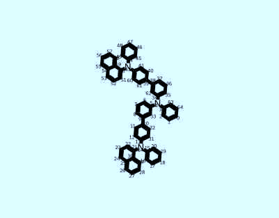 c1ccc(N(c2cccc(-c3ccc(N(c4ccccc4)c4cccc5ccccc45)cc3)c2)c2cccc(-c3ccc(N(c4ccccc4)c4cccc5ccccc45)cc3)c2)cc1